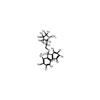 [2H]c1c([2H])c([2H])c([C@@](C)(OCC([2H])([2H])[C@]2([2H])N(C)C([2H])([2H])C([2H])([2H])C2([2H])[2H])c2c([2H])c([2H])c(Cl)c([2H])c2[2H])c([2H])c1[2H]